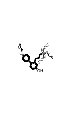 COCOc1ccc(-c2ccc(O)cc2CCC[Si](N=C=S)(N=C=S)N=C=S)cc1